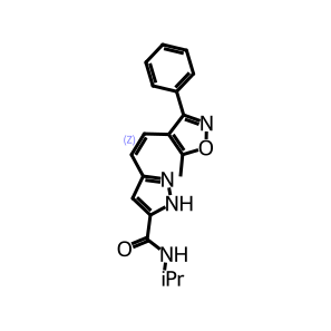 Cc1onc(-c2ccccc2)c1/C=C\c1cc(C(=O)NC(C)C)[nH]n1